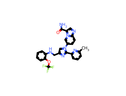 Cc1cccc(-c2nc(CNc3ccccc3OC(F)(F)F)cn2-c2ccc3ncc(C(N)=O)n3c2)n1